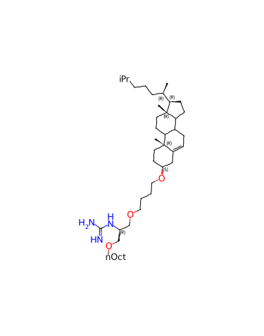 CCCCCCCCOC[C@H](COCCCCO[C@H]1CC[C@@]2(C)C(=CCC3C2CC[C@@]2(C)C3CC[C@@H]2[C@H](C)CCCC(C)C)C1)NC(=N)N